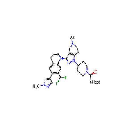 CCCCCCCC(=O)N1CCC(n2nc(N3CCCc4cc(-c5cnn(C)c5)c(C(F)F)cc43)c3c2CCN(C(C)=O)C3)CC1